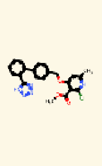 COC(=O)c1c(OCc2ccc(-c3ccccc3-c3nnn[nH]3)cc2)cc(C)nc1Cl